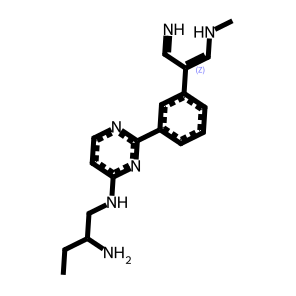 CCC(N)CNc1ccnc(-c2cccc(/C(C=N)=C/NC)c2)n1